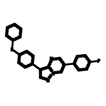 Fc1ccc(-c2cnc3c(-c4ccc(Sc5ccccc5)cc4)cnn3c2)cc1